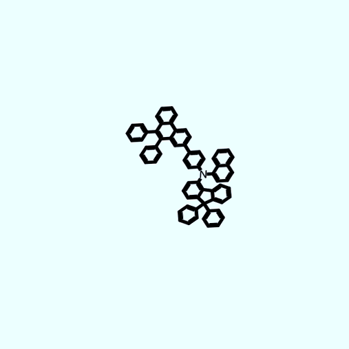 c1ccc(-c2c(-c3ccccc3)c3cc(-c4ccc(N(c5cccc6c5-c5ccccc5C6(c5ccccc5)c5ccccc5)c5cccc6ccccc56)cc4)ccc3c3ccccc23)cc1